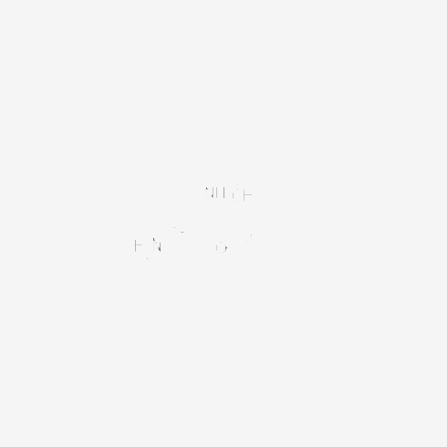 Cc1[nH]c2ccc(N)cc2c1C(=O)OCc1ccccc1